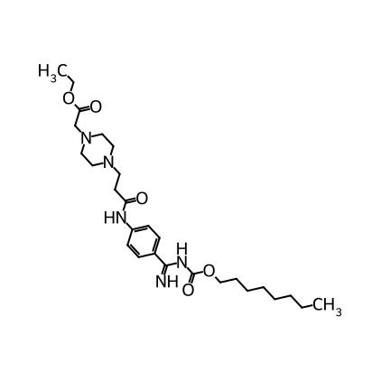 CCCCCCCCOC(=O)NC(=N)c1ccc(NC(=O)CCN2CCN(CC(=O)OCC)CC2)cc1